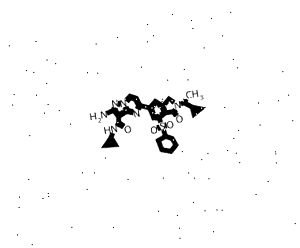 CC(C1CC1)N1Cc2cc(-c3ccn4nc(N)c(C(=O)NC5CC5)c4n3)cc(S(=O)(=O)C3CCCCC3)c2C1=O